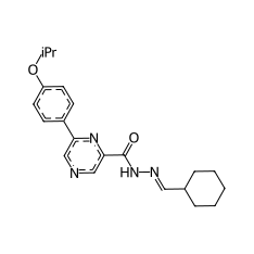 CC(C)Oc1ccc(-c2cncc(C(=O)NN=CC3CCCCC3)n2)cc1